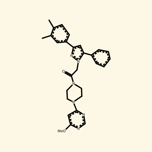 COc1cc(N2CCN(C(=O)Cn3nc(-c4ccc(C)c(C)c4)cc3-c3ccccc3)CC2)ncn1